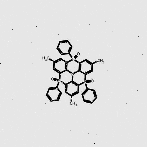 Cc1cc2c3c(c1)P(=O)(c1ccccc1)c1cc(C)cc4c1N3c1c(cc(C)cc1P4(=O)c1ccccc1)P2(=O)c1ccccc1